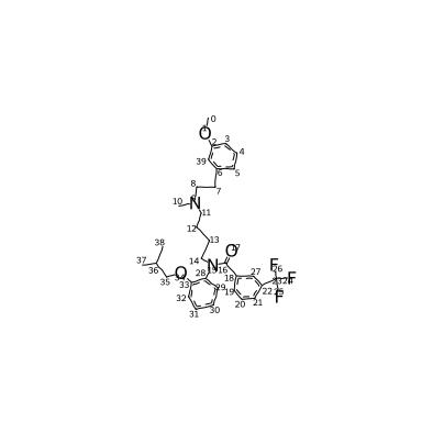 COc1cccc(CCN(C)CCCCN(C(=O)c2cccc(C(F)(F)F)c2)c2ccccc2OCC(C)C)c1